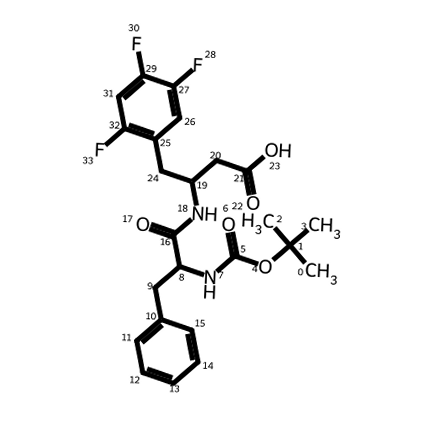 CC(C)(C)OC(=O)NC(Cc1ccccc1)C(=O)NC(CC(=O)O)Cc1cc(F)c(F)cc1F